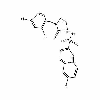 O=C1[C@@H](NS(=O)(=O)c2ccc3cc(Cl)ccc3c2)CCN1c1ccc(Cl)cc1Cl